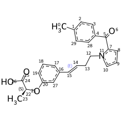 Cc1ccc(C(=O)c2cccn2CC/C=C/c2cccc(O[C@@H](C)C(=O)O)c2)cc1